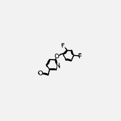 O=Cc1ccc(Oc2ccc(F)cc2F)nc1